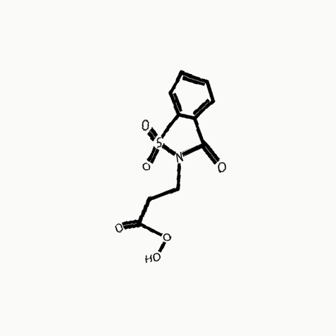 O=C(CCN1C(=O)c2ccccc2S1(=O)=O)OO